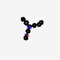 C1=c2ccccc2=CC(c2ccc(-c3cc(-c4ccc(-c5ccccc5)cc4)nc(-c4ccc(-c5nc6ccccc6o5)cc4)n3)cc2)C1